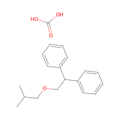 CC(C)COCC(c1ccccc1)c1ccccc1.O=C(O)O